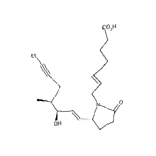 CCC#CC[C@H](C)[C@H](O)C=C[C@H]1CCC(=O)N1CC=CCCCC(=O)O